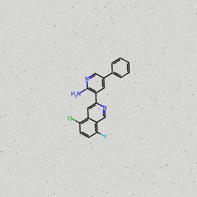 Nc1ncc(-c2ccccc2)cc1-c1cc2c(Cl)ccc(F)c2cn1